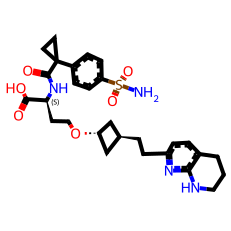 NS(=O)(=O)c1ccc(C2(C(=O)N[C@@H](CCO[C@H]3C[C@H](CCc4ccc5c(n4)NCCC5)C3)C(=O)O)CC2)cc1